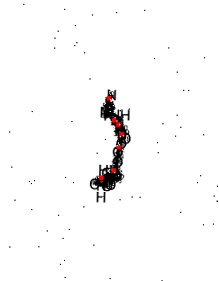 N#CCc1ccc2c(NC3CCC(N4CCN(C(=O)COCCOCCOCCNc5cccc6c5C(=O)N(C5CCC(=O)NC5=O)C6=O)CC4)CC3)ncnc2c1